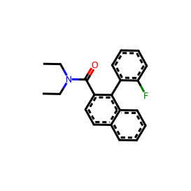 CCN(CC)C(=O)c1ccc2ccccc2c1-c1ccccc1F